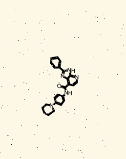 O=C(Nc1ccc(N2CCCCC2)cc1)c1ccnc2[nH]c(-c3ccccc3)nc12